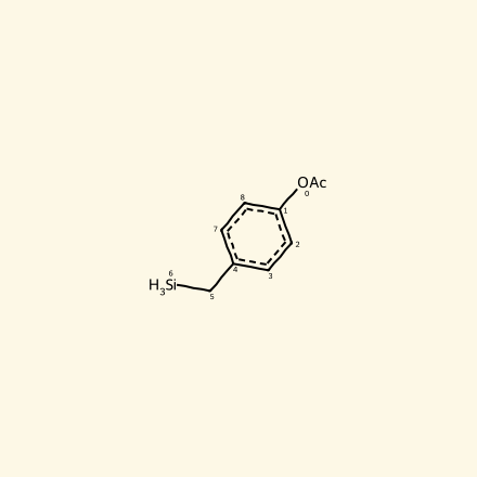 CC(=O)Oc1ccc(C[SiH3])cc1